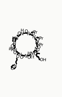 CCC1NC(=O)[C@@H]2[C@@H](C(C)C/C=C/CO)ON2C(=O)[C@H](C(C)C)N(C)C(=O)[C@H](CC(C)C)N(C)C(=O)[C@H](CC(C)C)N(C)C(=O)[C@@H](C)NC(=O)C(C)NC(=O)[C@H](CC(C)C)N(C)C(=O)C(C(C)C)NC(=O)C([C@@H](C)OCCCCN2CCOCC2)N(C)C(=O)[C@@H](C)N(C)C1=O